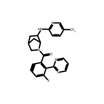 O=C(c1c#ccc(F)c1-c1ncccn1)N1CC2CC(Nc3ccc(C(F)(F)F)cn3)C1C2